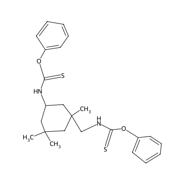 CC1(C)CC(NC(=S)Oc2ccccc2)CC(C)(CNC(=S)Oc2ccccc2)C1